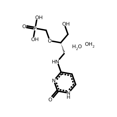 O.O.O=c1nc(NC[C@@H](CO)OCP(=O)(O)O)cc[nH]1